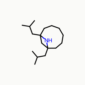 CC(C)CC12CCCCCCC(CC(C)C)(C1)N2